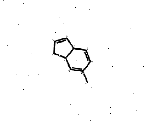 CC1=CC2CC=CC2C=C1